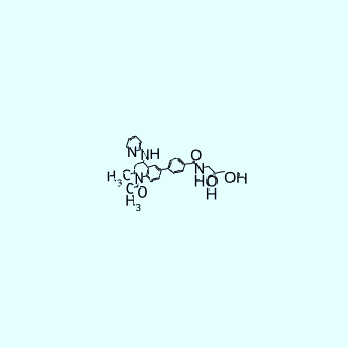 CC(=O)N1c2ccc(-c3ccc(C(=O)NC[C@H](O)CO)cc3)cc2[C@H](Nc2ccccn2)C[C@@H]1C